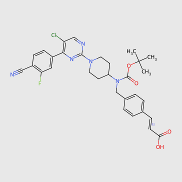 CC(C)(C)OC(=O)N(Cc1ccc(/C=C/C(=O)O)cc1)C1CCN(c2ncc(Cl)c(-c3ccc(C#N)c(F)c3)n2)CC1